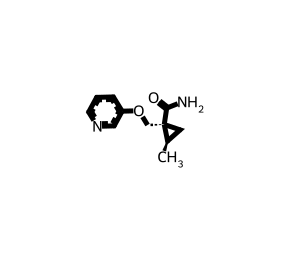 C[C@@H]1C[C@]1(COc1cccnc1)C(N)=O